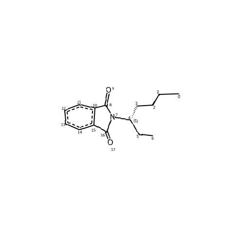 CCCC[C@H](CC)N1C(=O)c2ccccc2C1=O